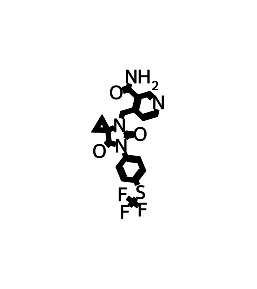 NC(=O)c1cnccc1CN1C(=O)N(c2ccc(SC(F)(F)F)cc2)C(=O)C12CC2